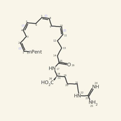 CCCCC/C=C\C/C=C\C/C=C\C/C=C\CCCC(=O)N[C@@H](CCCNC(=N)N)C(=O)O